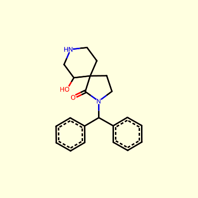 O=C1N(C(c2ccccc2)c2ccccc2)CCC12CCNCC2O